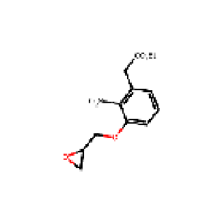 CCOC(=O)Cc1cccc(OCC2CO2)c1[N+](=O)[O-]